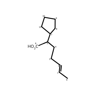 CC=CCCC(C(=O)O)C1CCCC1